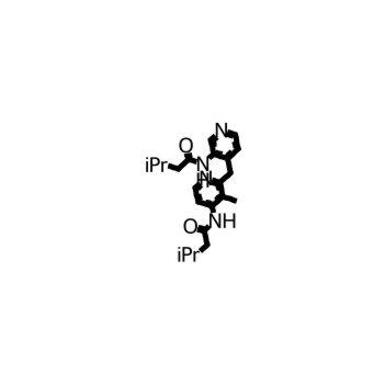 Cc1c(NC(=O)CC(C)C)ccnc1Cc1ccncc1NC(=O)CC(C)C